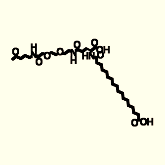 CC(=O)CCCNC(=O)COCCOCCNC(=O)CC[C@H](NC(=O)CCCCCCCCCCCCCCCCC(=O)O)C(=O)O